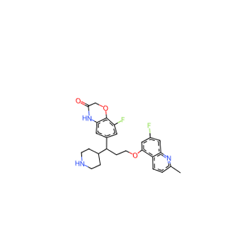 Cc1ccc2c(OCCC(c3cc(F)c4c(c3)NC(=O)CO4)C3CCNCC3)cc(F)cc2n1